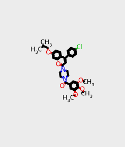 COc1cc(C(=O)N2CCN(C(=O)/C=C(/c3ccc(Cl)cc3)c3ccc(OCC(C)C)cc3)CC2)cc(OC)c1OC